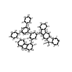 CC1(C)c2ccccc2-c2cc3c4ccccc4n(-c4cc(-c5nc(-c6ccccc6)nc(-c6ccccc6)n5)cc(-c5cccc6oc7ccccc7c56)c4)c3cc21